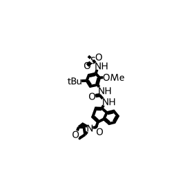 COc1c(NC(=O)Nc2ccc(C(=O)N3CC4CC3CO4)c3ccccc23)cc(C(C)(C)C)cc1NS(C)(=O)=O